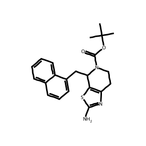 CC(C)(C)OC(=O)N1CCc2nc(N)sc2C1Cc1cccc2ccccc12